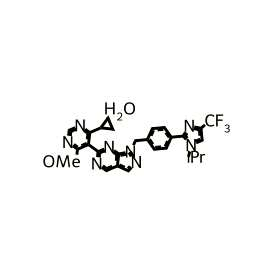 COc1ncnc(C2CC2)c1-c1ncc2cnn(Cc3ccc(-c4nc(C(F)(F)F)cn4C(C)C)cc3)c2n1.O